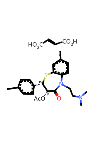 CC(=O)O[C@H]1C(=O)N(CCN(C)C)c2ccc(C)cc2S[C@H]1c1ccc(C)cc1.O=C(O)C=CC(=O)O